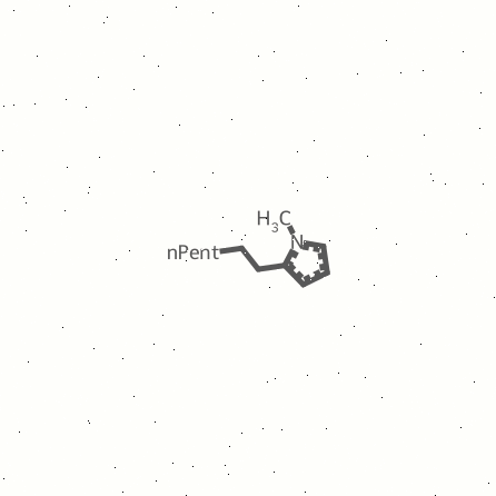 CCCCCCCc1cccn1C